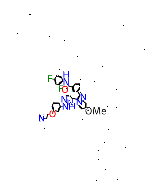 COc1ccn2c(-c3ccnc(Nc4cccc(OCCN(C)C)c4)n3)c(-c3cccc(C(=O)Nc4ccc(F)cc4F)c3)nc2c1